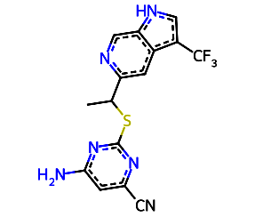 CC(Sc1nc(N)cc(C#N)n1)c1cc2c(C(F)(F)F)c[nH]c2cn1